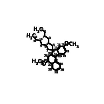 CCCCCCC1(CCCCCC)c2cc(OC)ccc2-c2c1cc(OC)c1ccccc21